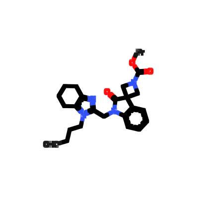 CC(C)OC(=O)N1CC2(C1)C(=O)N(Cc1nc3c(n1CCCC=O)CCCC3)c1ccccc12